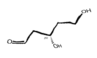 O=CC[C@@H](O)CCO